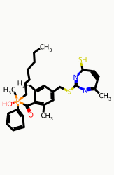 CCCCCCCP(C)(O)(C(=O)c1c(C)cc(CSC2=NC(S)C#CC(C)=N2)cc1C)c1ccccc1